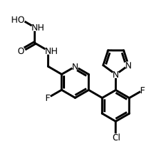 O=C(NO)NCc1ncc(-c2cc(Cl)cc(F)c2-n2cccn2)cc1F